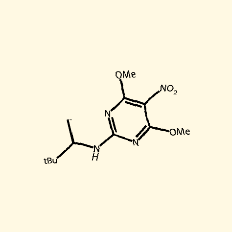 [CH2]C(Nc1nc(OC)c([N+](=O)[O-])c(OC)n1)C(C)(C)C